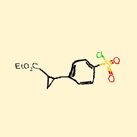 CCOC(=O)C1CC1c1ccc(S(=O)(=O)Cl)cc1